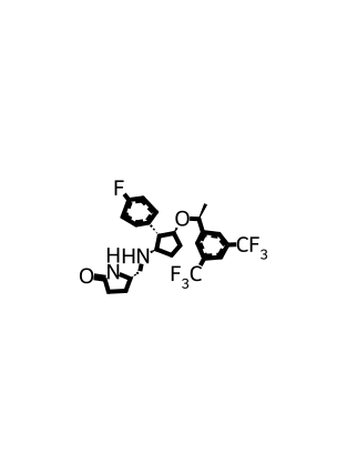 C[C@H](O[C@@H]1CC[C@H](NC[C@@H]2CCC(=O)N2)[C@@H]1c1ccc(F)cc1)c1cc(C(F)(F)F)cc(C(F)(F)F)c1